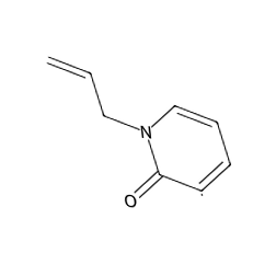 C=CCn1ccc[c]c1=O